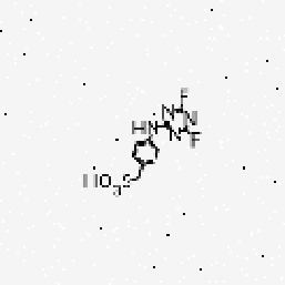 O=S(=O)(O)Cc1ccc(Nc2nc(F)nc(F)n2)cc1